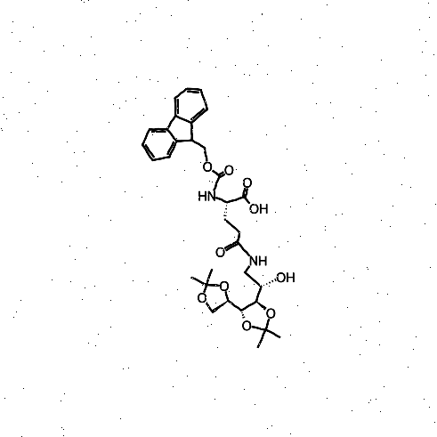 CC1(C)O[C@H]([C@@H](O)CNC(=O)CC[C@H](NC(=O)OCC2c3ccccc3-c3ccccc32)C(=O)O)[C@@H]([C@H]2COC(C)(C)O2)O1